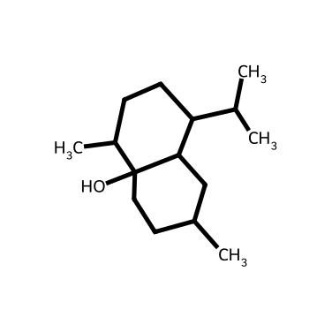 CC1CCC2(O)C(C)CCC(C(C)C)C2C1